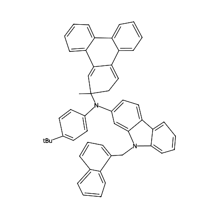 CC(C)(C)c1ccc(N(c2ccc3c4ccccc4n(Cc4cccc5ccccc45)c3c2)C2(C)C=c3c(c4ccccc4c4ccccc34)=CC2)cc1